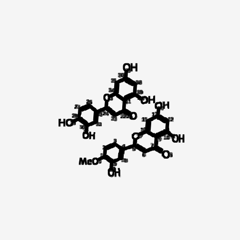 COc1ccc(-c2cc(=O)c3c(O)cc(O)cc3o2)cc1O.O=c1cc(-c2ccc(O)c(O)c2)oc2cc(O)cc(O)c12